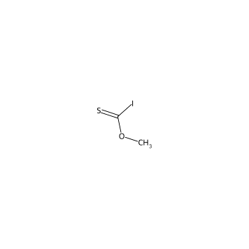 COC(=S)I